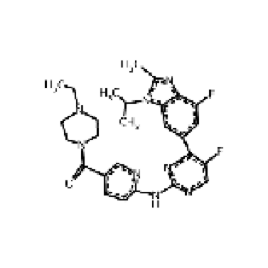 CCN1CCN(C(=O)c2ccc(Nc3ncc(F)c(-c4cc(F)c5nc(C)n(C(C)C)c5c4)n3)nc2)CC1